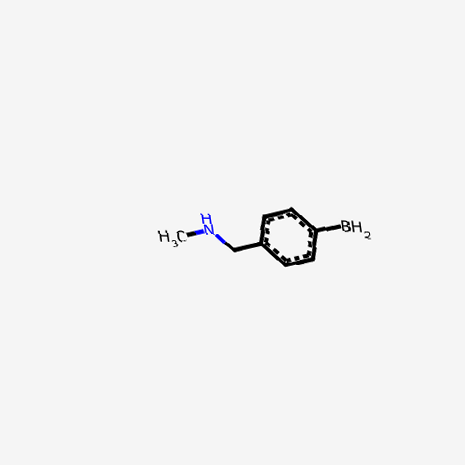 Bc1ccc(CNC)cc1